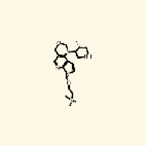 C[C@@H]1CCNCC1N1COCc2cnc3c(ccn3COCC[Si](C)(C)C)c21